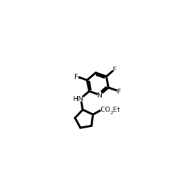 CCOC(=O)C1CCCC1Nc1nc(F)c(F)cc1F